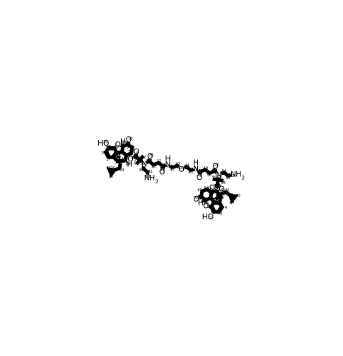 CC(C)(C(=O)O[C@@]12CCC(=O)[C@@H]3Oc4c(O)ccc5c4[C@@]31CCN(CC1CC1)[C@@H]2C5)N(CCN)C(=O)CCC(=O)NCCOCCNC(=O)CCC(=O)N(CCN)C(C)(C)C(=O)O[C@@]12CCC(=O)[C@@H]3Oc4c(O)ccc5c4[C@@]31CCN(CC1CC1)[C@@H]2C5